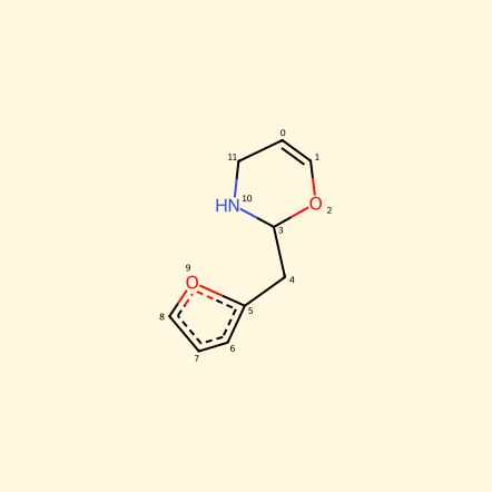 C1=COC(Cc2ccco2)NC1